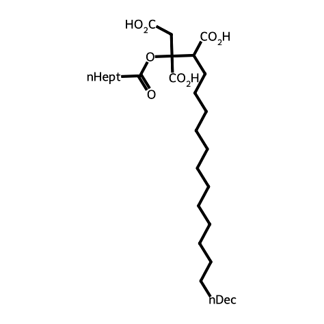 CCCCCCCCCCCCCCCCCCCCCCC(C(=O)O)C(CC(=O)O)(OC(=O)CCCCCCC)C(=O)O